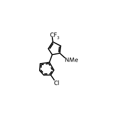 CNC1=CC(C(F)(F)F)=CC1c1cccc(Cl)c1